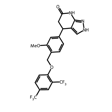 COc1cc(C2CC(=O)Nc3n[nH]cc32)ccc1COc1ccc(C(F)(F)F)cc1C(F)(F)F